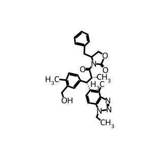 CCn1nnc2c(C)c([C@H](c3ccc(C)c(CO)c3)[C@@H](C)C(=O)N3C(=O)OCC3Cc3ccccc3)ccc21